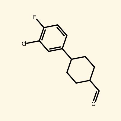 O=CC1CCC(c2ccc(F)c(Cl)c2)CC1